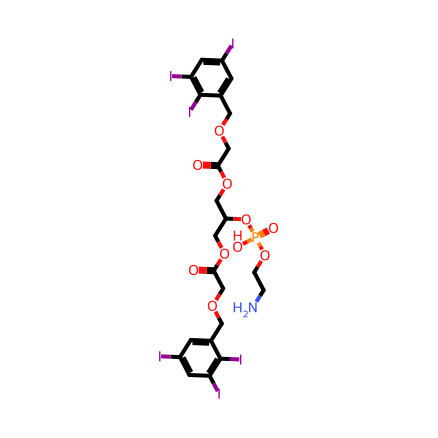 NCCOP(=O)(O)OC(COC(=O)COCc1cc(I)cc(I)c1I)COC(=O)COCc1cc(I)cc(I)c1I